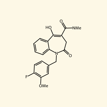 CNC(=O)C1=C(O)c2ccccc2N(Cc2ccc(F)c(OC)c2)C(=O)C1